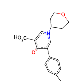 Cc1ccc(-c2cn(C3CCOCC3)cc(C(=O)O)c2=O)cc1